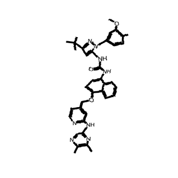 COc1cc(-n2nc(C(C)(C)C)cc2NC(=O)Nc2ccc(OCc3ccnc(Nc4cnc(C)c(C)n4)c3)c3ccccc23)ccc1C